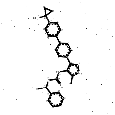 Cc1nsc(-c2ccc(-c3ccc(C4(C=O)CC4)cc3)cc2)c1NC(=O)O[C@H](C)c1ccccc1